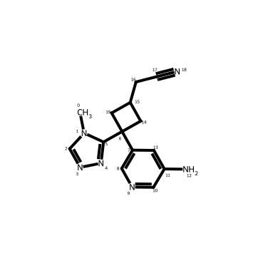 Cn1cnnc1C1(c2cncc(N)c2)CC(CC#N)C1